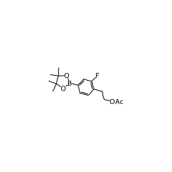 CC(=O)OCCc1ccc(B2OC(C)(C)C(C)(C)O2)cc1F